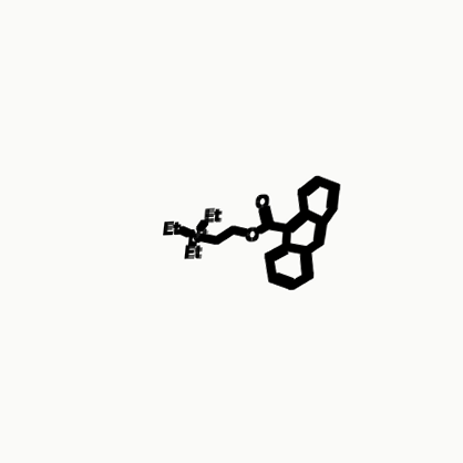 CC[N+](CC)(CC)CCOC(=O)c1c2ccccc2cc2ccccc12